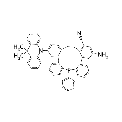 CC1(C)c2ccccc2N(c2ccc3c(c2)-c2ccccc2P(c2ccccc2)c2ccccc2-c2cc(N)cc(C#N)c2CC3)c2ccccc21